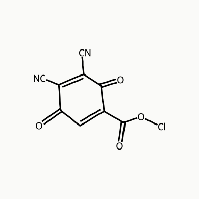 N#CC1=C(C#N)C(=O)C(C(=O)OCl)=CC1=O